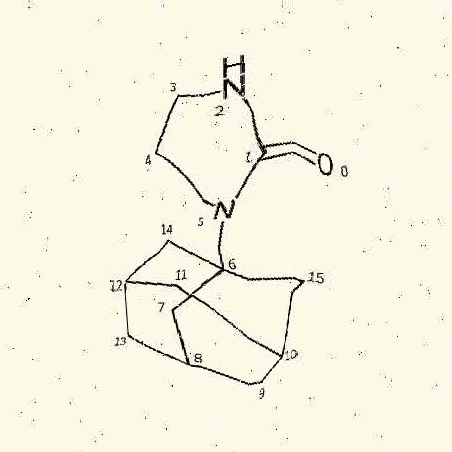 O=C1NCCN1C12CC3CC(CC(C3)C1)C2